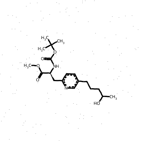 COC(=O)[C@H](Cc1ccc(CCCC(C)O)cn1)NC(=O)OC(C)(C)C